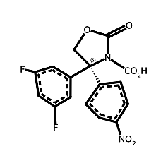 O=C(O)N1C(=O)OC[C@]1(c1ccc([N+](=O)[O-])cc1)c1cc(F)cc(F)c1